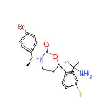 C[C@@H](c1ccc(Br)cc1)N1CC[C@](CC(C)(C)N)(c2ccc(F)cc2)OC1=O